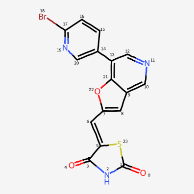 O=C1NC(=O)/C(=C/c2cc3cncc(-c4ccc(Br)nc4)c3o2)S1